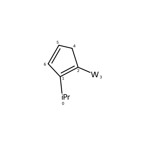 CC(C)C1=[C]([W])CC=C1